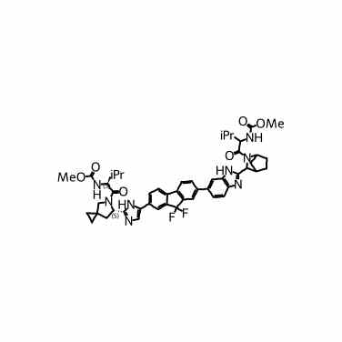 COC(=O)NC(C(=O)N1C2CCC(C2)C1c1nc2ccc(-c3ccc4c(c3)C(F)(F)c3cc(-c5cnc([C@@H]6CC7(CC7)CN6C(=O)[C@@H](NC(=O)OC)C(C)C)[nH]5)ccc3-4)cc2[nH]1)C(C)C